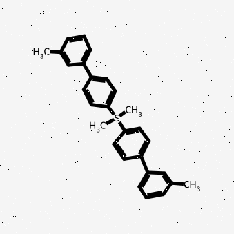 Cc1cccc(-c2ccc(S(C)(C)c3ccc(-c4cccc(C)c4)cc3)cc2)c1